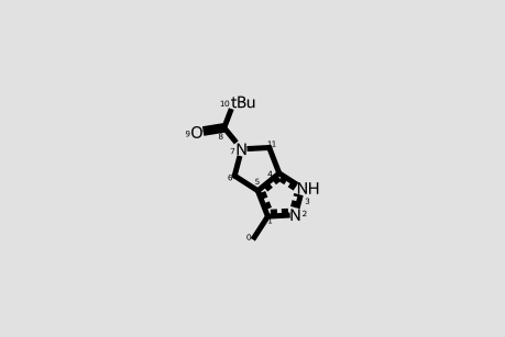 Cc1n[nH]c2c1CN(C(=O)C(C)(C)C)C2